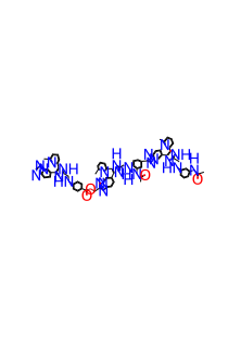 CC(=O)Nc1cccc(NCc2nc(-c3ccc4nc(-c5ccc(NCc6nc(-c7ccc8nc(COC(=O)c9ccc(NCc%10nc(-c%11ccc%12ncnn%12c%11)c(-c%11cccc(C)n%11)[nH]%10)cc9)nn8c7)c(-c7cccc(C)n7)[nH]6)c(NC(C)=O)c5)nn4c3)c(-c3cccc(C)n3)[nH]2)c1